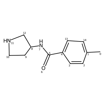 Cc1ccc(C(=O)NC2CCNC2)cc1